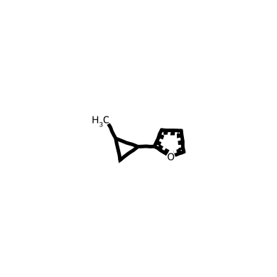 CC1CC1c1ccco1